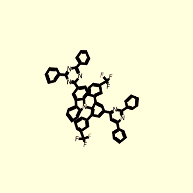 FC(F)(F)c1cccc(-c2cc(-c3cc(-c4ccccc4)nc(-c4ccccc4)n3)cc(-c3cccc(C(F)(F)F)c3)c2-n2c3ccccc3c3cc(-c4nc(-c5ccccc5)nc(-c5ccccc5)n4)ccc32)c1